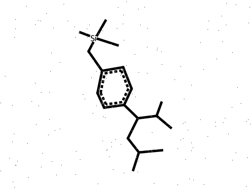 CC(C)CC(c1ccc(C[Si](C)(C)C)cc1)C(C)C